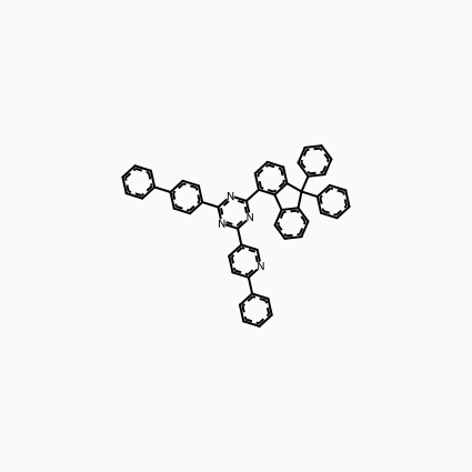 c1ccc(-c2ccc(-c3nc(-c4ccc(-c5ccccc5)nc4)nc(-c4cccc5c4-c4ccccc4C5(c4ccccc4)c4ccccc4)n3)cc2)cc1